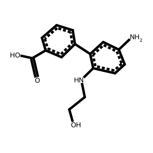 Nc1ccc(NCCO)c(-c2cccc(C(=O)O)c2)c1